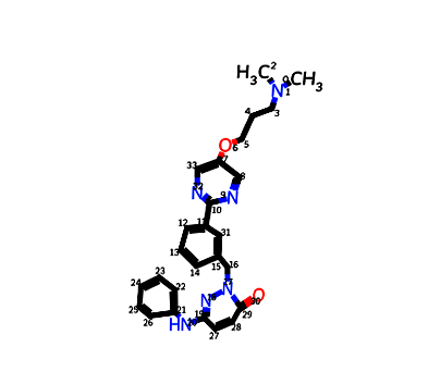 CN(C)CCCOc1cnc(-c2cccc(Cn3nc(Nc4ccccc4)ccc3=O)c2)nc1